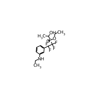 CCNc1cccc(C(F)(F)C(F)(F)P(=O)(OCC)C(C)O)c1